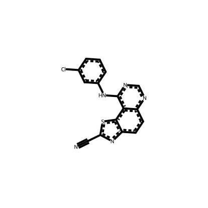 N#Cc1nc2ccc3ncnc(Nc4cccc(Cl)c4)c3c2s1